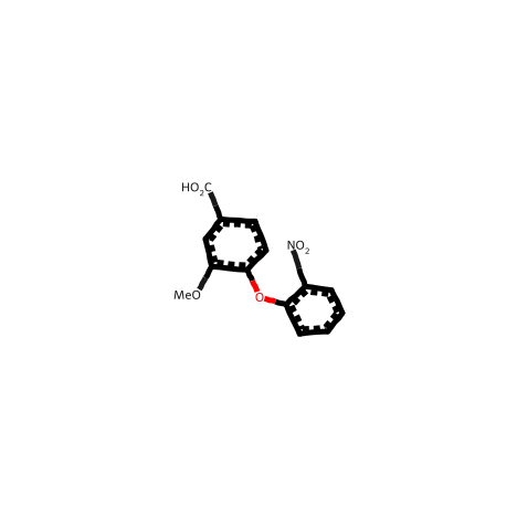 COc1cc(C(=O)O)ccc1Oc1ccccc1[N+](=O)[O-]